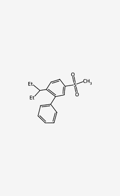 CCC(CC)c1ccc(S(C)(=O)=O)cc1-c1ccccc1